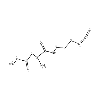 CC(C)(C)OC(=O)CC(N)C(=O)NCCCN=[N+]=[N-]